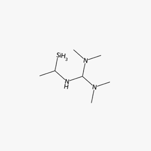 CC([SiH3])NC(N(C)C)N(C)C